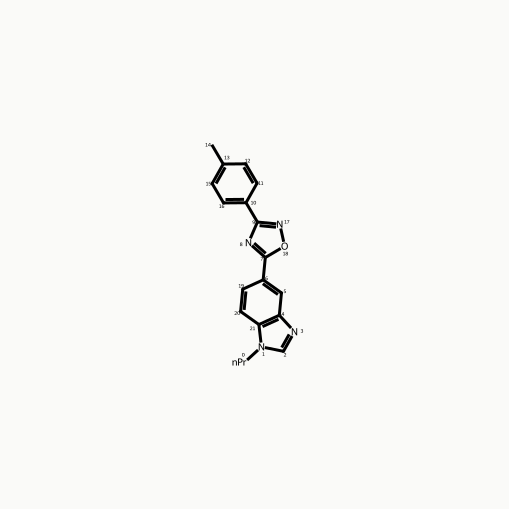 CCCn1cnc2cc(-c3nc(-c4ccc(C)cc4)no3)ccc21